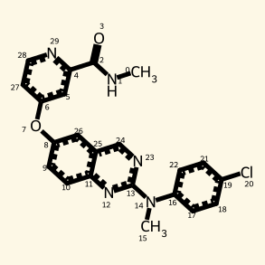 CNC(=O)c1cc(Oc2ccc3nc(N(C)c4ccc(Cl)cc4)ncc3c2)ccn1